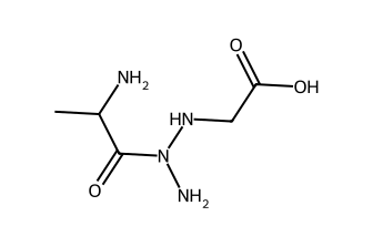 CC(N)C(=O)N(N)NCC(=O)O